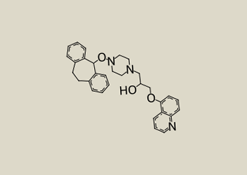 OC(COc1cccc2ncccc12)CN1CCN(OC2c3ccccc3CCc3ccccc32)CC1